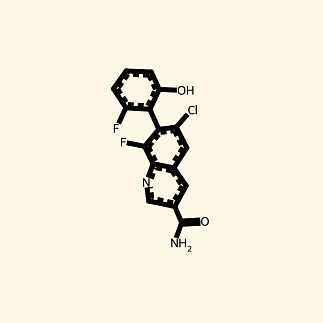 NC(=O)c1cnc2c(F)c(-c3c(O)cccc3F)c(Cl)cc2c1